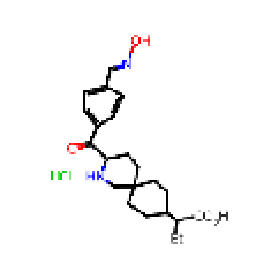 CCC(C(=O)O)C1CCC2(CCC(C(=O)c3ccc(C=NO)cc3)NC2)CC1.Cl